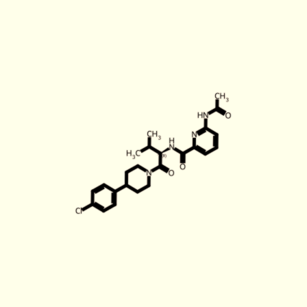 CC(=O)Nc1cccc(C(=O)N[C@@H](C(=O)N2CCC(c3ccc(Cl)cc3)CC2)C(C)C)n1